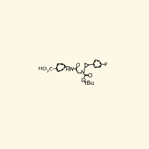 CC(C)(C)OC(=O)N(CC(=O)NCc1ccc(C(=O)O)cc1)C1CC1c1ccc(F)cc1